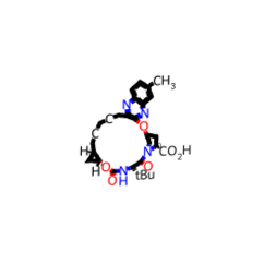 Cc1ccc2nc3c(nc2c1)OC1C[C@@H](C(=O)O)N(C1)C(=O)C(C(C)(C)C)NC(=O)O[C@@H]1C[C@H]1CCCCC3